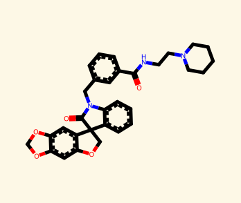 O=C(NCCN1CCCCC1)c1cccc(CN2C(=O)C3(COc4cc5c(cc43)OCO5)c3ccccc32)c1